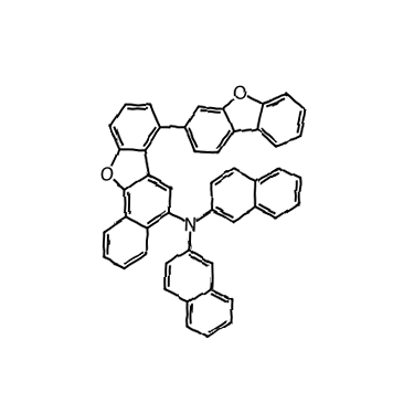 c1ccc2cc(N(c3ccc4ccccc4c3)c3cc4c(oc5cccc(-c6ccc7c(c6)oc6ccccc67)c54)c4ccccc34)ccc2c1